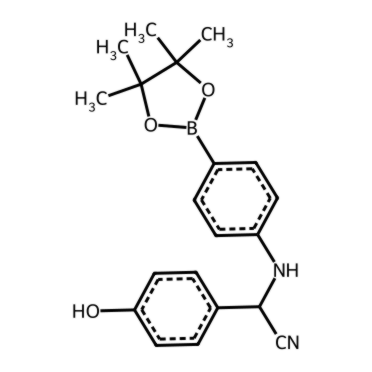 CC1(C)OB(c2ccc(NC(C#N)c3ccc(O)cc3)cc2)OC1(C)C